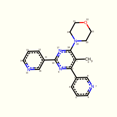 Cc1c(-c2cccnc2)nc(-c2cccnc2)nc1N1CCOCC1